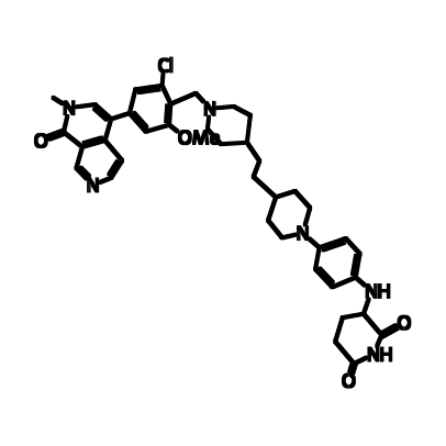 COc1cc(-c2cn(C)c(=O)c3cnccc23)cc(Cl)c1CN1CCC(CCC2CCN(c3ccc(NC4CCC(=O)NC4=O)cc3)CC2)CC1